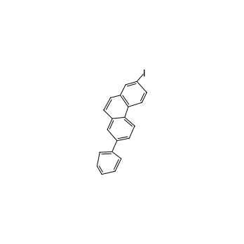 Ic1ccc2c(ccc3cc(-c4ccccc4)ccc32)c1